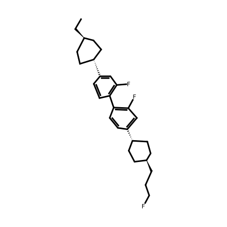 CC[C@H]1CC[C@H](c2ccc(-c3ccc([C@H]4CC[C@H](CCCF)CC4)cc3F)c(F)c2)CC1